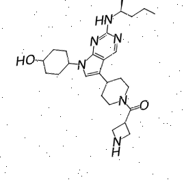 CCC[C@H](C)Nc1ncc2c(C3CCN(C(=O)C4CNC4)CC3)cn(C3CCC(O)CC3)c2n1